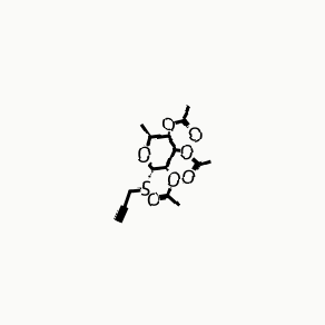 C#CCS[C@@H]1OC(C)[C@H](OC(C)=O)C(OC(C)=O)[C@@H]1OC(C)=O